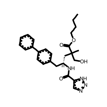 CCCCOC(=O)C(C)(CO)C[C@@H](Cc1ccc(-c2ccccc2)cc1)NC(=O)c1cnn[nH]1